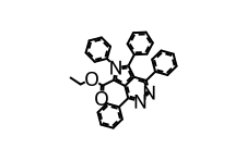 CCOC(=O)c1c2c(-c3ccccc3)nnc(-c3ccccc3)c2c(-c2ccccc2)n1-c1ccccc1